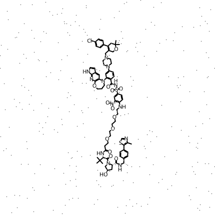 Cc1ncsc1-c1ccc([C@H](C)NC(=O)[C@@H]2C[C@@H](O)CN2C(=O)[C@@H](NC(=O)CCOCCOCCOCCNc2ccc(S(=O)(=O)NC(=O)c3ccc(N4CCN(CC5=C(c6ccc(Cl)cc6)CC(C)(C)OC5)CC4)cc3N3CCCOc4nc5[nH]ccc5cc43)cc2[N+](=O)[O-])C(C)(C)C)cc1